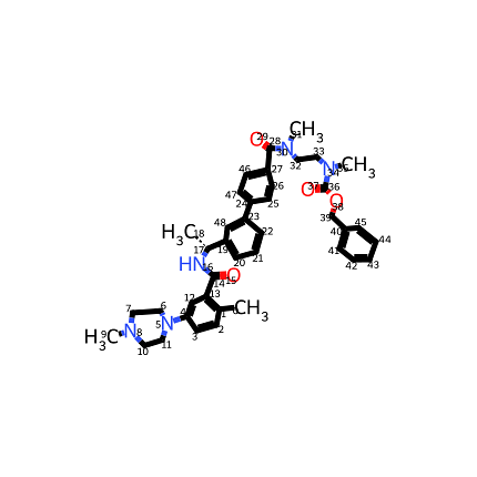 Cc1ccc(N2CCN(C)CC2)cc1C(=O)N[C@H](C)c1cccc(-c2ccc(C(=O)N(C)CCN(C)C(=O)OCc3ccccc3)cc2)c1